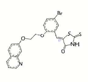 O=C1NC(=S)S/C1=C\c1cc(Br)ccc1OCCOc1ccc2cccnc2c1